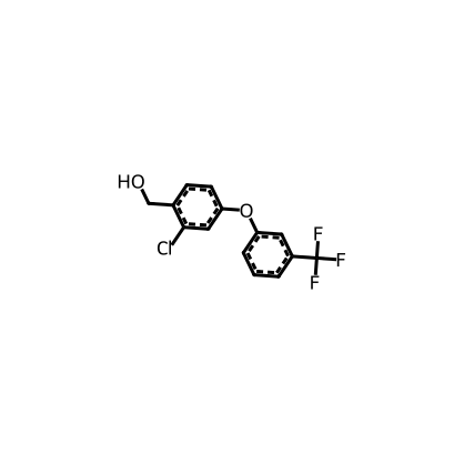 OCc1ccc(Oc2cccc(C(F)(F)F)c2)cc1Cl